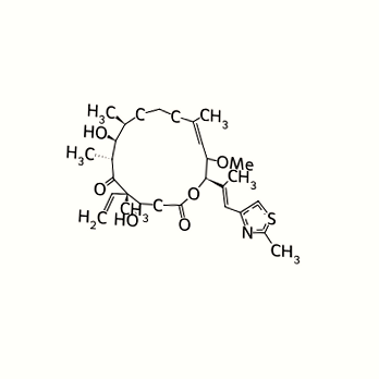 C=C[C@]1(C)C(=O)[C@H](C)[C@@H](O)[C@@H](C)CCC/C(C)=C\C(OC)[C@@H](/C(C)=C/c2csc(C)n2)OC(=O)C[C@@H]1O